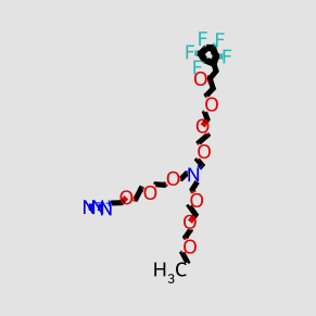 CCCOCCOCCOCCN(CCOCCOCCOCCN=[N+]=[N-])CCOCCOCCOCCC(=O)Cc1c(F)c(F)c(F)c(F)c1F